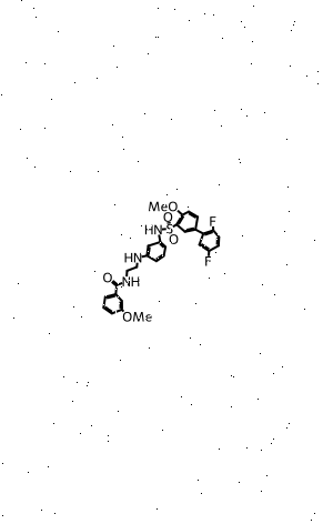 COc1cccc(C(=O)NCCNc2cccc(NS(=O)(=O)c3cc(-c4cc(F)ccc4F)ccc3OC)c2)c1